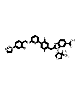 CC1(C)COC[C@H]1n1c(Cc2cc(F)c(-c3cccc(OCc4ccc(-n5ccnn5)cc4F)n3)cc2F)nc2ccc(C(=O)O)cc21